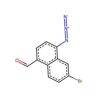 [N-]=[N+]=Nc1ccc(C=O)c2ccc(Br)cc12